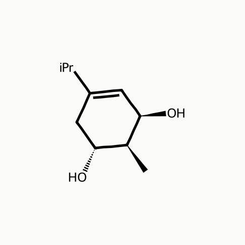 CC(C)C1=C[C@@H](O)[C@@H](C)[C@H](O)C1